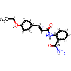 CCOc1ccc(/C=C/C(=O)Nc2ccccc2C(N)=O)cc1